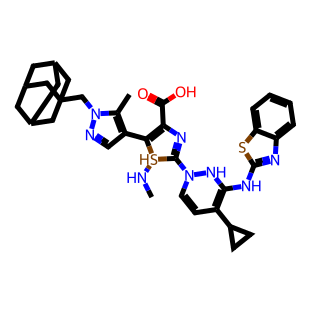 CN[SH]1C(N2C=CC(C3CC3)=C(Nc3nc4ccccc4s3)N2)=NC(C(=O)O)=C1c1cnn(CC23CC4CC(CC(C4)C2)C3)c1C